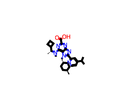 CC(C)c1ccnc(-c2nc3nc(C(=O)O)nc(N(C)[C@H](C)C4CCC4)c3n2C[C@H]2CC[C@H](C)CC2)c1